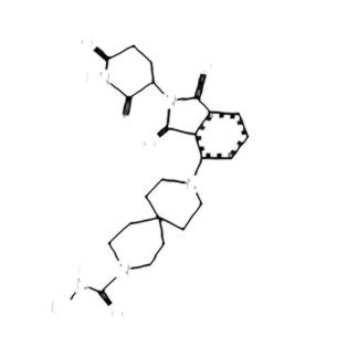 CCNC(=O)N1CCC2(CC1)CCN(c1cccc3c1C(=O)N(C1CCC(=O)NC1=O)C3=O)CC2